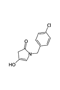 O=C1CC(O)=CN1Cc1ccc(Cl)cc1